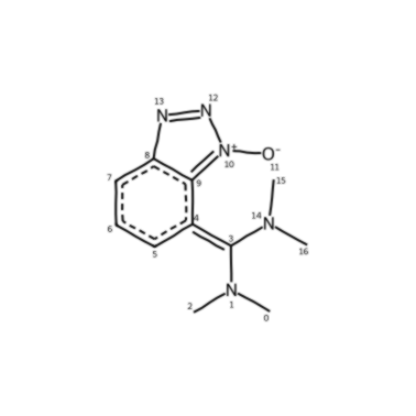 CN(C)C(=c1cccc2c1=[N+]([O-])N=N2)N(C)C